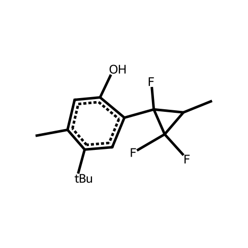 Cc1cc(O)c(C2(F)C(C)C2(F)F)cc1C(C)(C)C